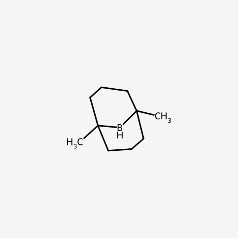 CC12BC(C)(CCC1)CCC2